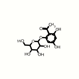 CC(=O)c1c(O)cc(O)cc1OC1OC(CO)C(O)C(O)C1O